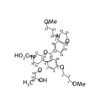 COCCCOc1ccc([C@@H]2[C@@H](OCc3ccc4c(c3)N(CCCOC)CCO4)CN(C(=O)O)C[C@H]2OCC(C)O)cc1